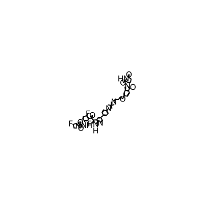 O=C1CC[C@@H](N2Cc3cc(OCCCN4CC5(C4)CN(c4ccc(-c6cnc7[nH]cc(C(=O)c8c(F)ccc(NS(=O)(=O)N9CC[C@@H](F)C9)c8F)c7c6)cc4)C5)ccc3C2=O)C(=O)N1